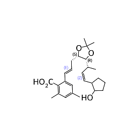 Cc1cc(C)c(C(=O)O)c(/C=C/C[C@@H]2OC(C)(C)O[C@@H]2C(C)/C=C\C2CCCC2O)c1